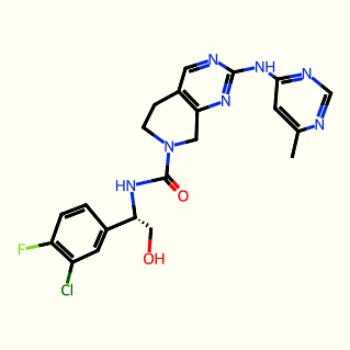 Cc1cc(Nc2ncc3c(n2)CN(C(=O)N[C@H](CO)c2ccc(F)c(Cl)c2)CC3)ncn1